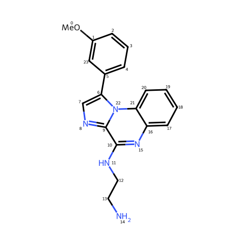 COc1cccc(-c2cnc3c(NCCN)nc4ccccc4n23)c1